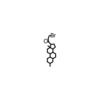 CC1CCC2C(CCC3C2CCC2(C)C3CCC2C2OC2CBr)C1